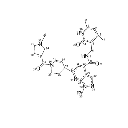 Cc1cc(C)c(CNC(=O)c2cc(C3C=CN(C(=O)C4CCN(C)C4)CC3)nc3c2cnn3C(C)C)c(=O)[nH]1